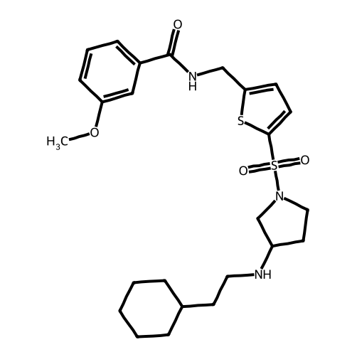 COc1cccc(C(=O)NCc2ccc(S(=O)(=O)N3CCC(NCCC4CCCCC4)C3)s2)c1